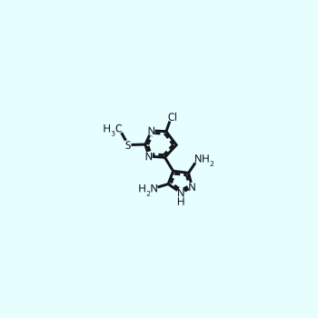 CSc1nc(Cl)cc(-c2c(N)n[nH]c2N)n1